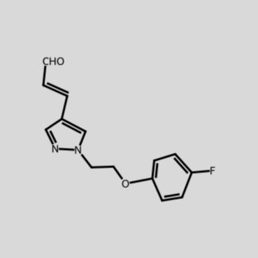 O=C/C=C/c1cnn(CCOc2ccc(F)cc2)c1